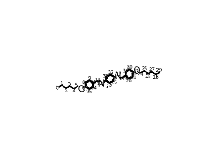 CCCCCCOc1ccc(C=Nc2ccc(N=Cc3ccc(OCCCCCC)cc3)cc2)cc1